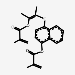 C=C(C)C(=O)OC(C)=C(C)Oc1ccc(OC(=O)C(=C)C)c2ccccc12